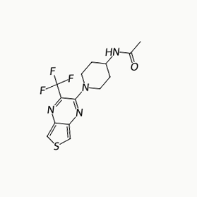 CC(=O)NC1CCN(c2nc3cscc3nc2C(F)(F)F)CC1